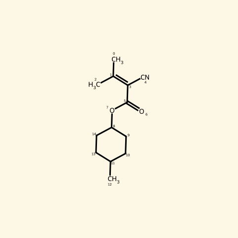 CC(C)=C(C#N)C(=O)OC1CCC(C)CC1